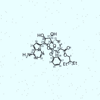 CCC(CC)COC(=O)[C@H](C)NP(=O)(Oc1ccccc1)O[C@@]1(CF)O[C@@H](c2ccc3c(N)ncnn23)[C@H](O)[C@@H]1O